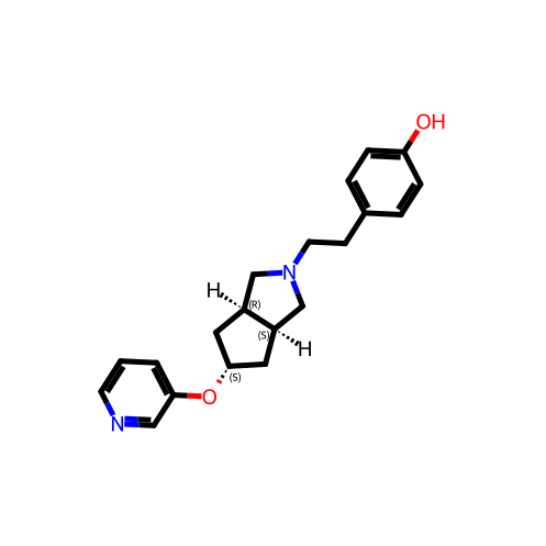 Oc1ccc(CCN2C[C@H]3C[C@H](Oc4cccnc4)C[C@H]3C2)cc1